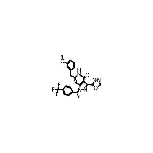 COc1cccc(Cc2nc3c(c(-c4nnco4)nn3[C@@H](C)c3ccc(C(F)(F)F)cc3)c(=O)[nH]2)c1